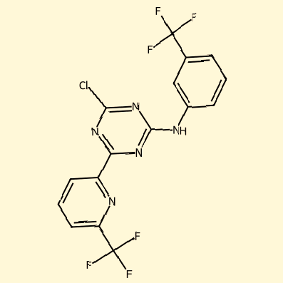 FC(F)(F)c1cccc(Nc2nc(Cl)nc(-c3cccc(C(F)(F)F)n3)n2)c1